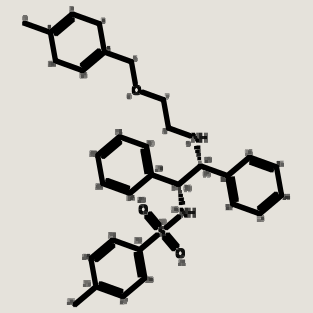 CC1=CCC(COCCN[C@H](c2ccccc2)[C@H](NS(=O)(=O)c2ccc(C)cc2)c2ccccc2)=CC1